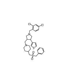 O=S(=O)(Cc1ccccc1)CC1CCN(CC2CN(Cc3ccc(Cl)cc3Cl)CC2c2ccsc2)CC1